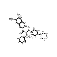 Cc1cc2cc(C(=O)N(Cc3ccc(N4CCOCC4)nn3)[C@@H](C)c3ncccn3)c(F)cc2nc1N